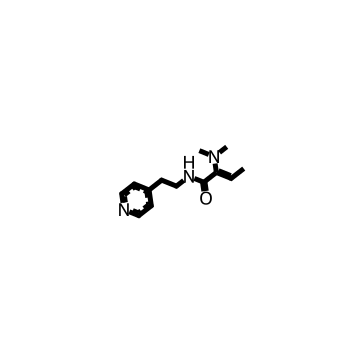 CC=C(C(=O)NCCc1ccncc1)N(C)C